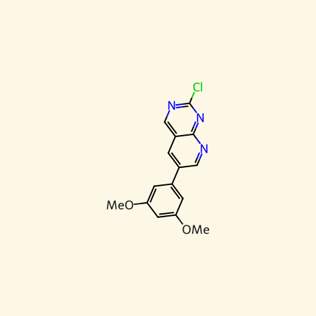 COc1cc(OC)cc(-c2cnc3nc(Cl)ncc3c2)c1